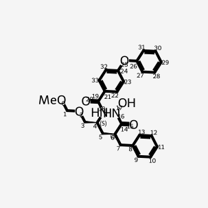 COCOC[C@H](C[C@H](Cc1ccccc1)C(=O)NO)NC(=O)c1ccc(Oc2ccccc2)cc1